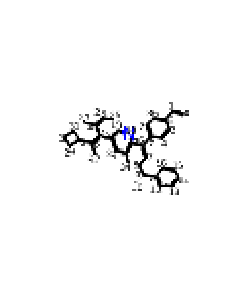 C=Cc1ccc(/C(=C/C[C@@H](C)c2ccccc2)c2ncc(C(/C(C)=C\C)=C(\C)C3CCC3)cc2C)cc1